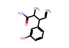 C=CC(c1cccc(O)c1)C(C)C(N)=O